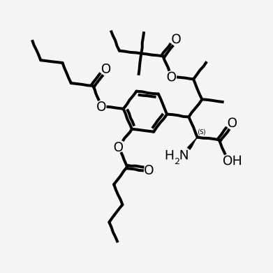 CCCCC(=O)Oc1ccc(C(C(C)C(C)OC(=O)C(C)(C)CC)[C@H](N)C(=O)O)cc1OC(=O)CCCC